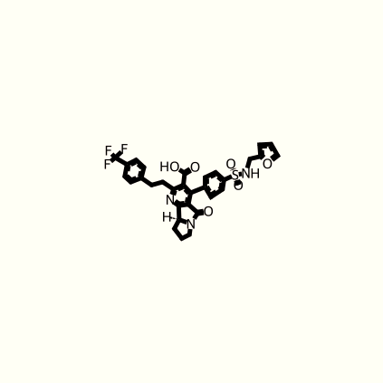 O=C(O)c1c(CCc2ccc(C(F)(F)F)cc2)nc2c(c1-c1ccc(S(=O)(=O)NCc3ccco3)cc1)C(=O)N1CCC[C@@H]21